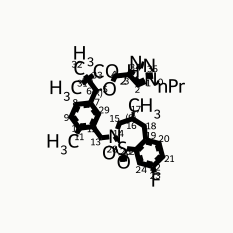 CCCn1cc(CO[C@H](c2ccc(C)c(CN3C[C@@H](C)Cc4ccc(F)cc4S3(=O)=O)c2)C(C)(C)C(=O)O)nn1